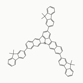 CC1(C)c2ccccc2-c2ccc(-c3ccc4cc5c6cc(-c7ccc8c(c7)C(C)(C)c7ccccc7-8)cc7c8cc9ccc(-c%10ccc%11c(c%10)C(C)(C)c%10ccccc%10-%11)cc9cc8n(c5cc4c3)c67)cc21